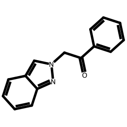 O=C(Cn1cc2ccccc2n1)c1ccccc1